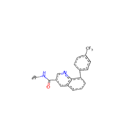 CC(C)NC(=O)c1cnc2c(-c3ccc(C(F)(F)F)cc3)cccc2c1